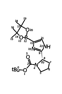 CC(C)(C)OC(=O)N1CCC[C@H]1c1nc(B2OC(C)(C)C(C)(C)O2)c[nH]1